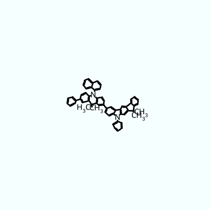 CC1(C)c2ccccc2-c2cc3c4cc(-c5ccc6c(c5)C(C)(C)c5cc(-c7ccccc7)ccc5N6c5cccc6ccccc56)ccc4n(-c4ccccc4)c3cc21